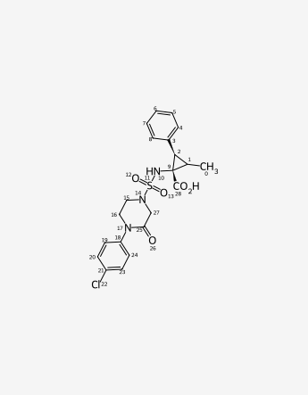 CC1[C@H](c2ccccc2)[C@]1(NS(=O)(=O)N1CCN(c2ccc(Cl)cc2)C(=O)C1)C(=O)O